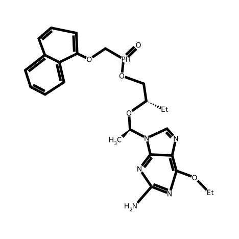 CCOc1nc(N)nc2c1ncn2[C@@H](C)O[C@@H](CC)CO[PH](=O)COc1cccc2ccccc12